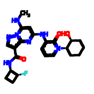 CNc1cc(Nc2cccn([C@H]3CCCC[C@H]3O)c2=O)nc2c(C(=O)N[C@@H]3CC[C@H]3F)cnn12